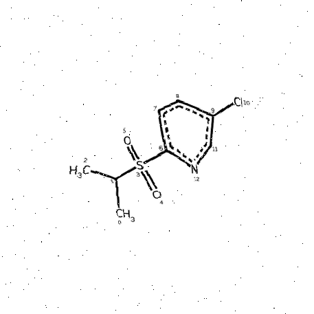 CC(C)S(=O)(=O)c1ccc(Cl)cn1